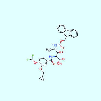 CC(NC(=O)OCC1c2ccccc2-c2ccccc21)C(=O)C(NC(=O)c1ccc(OC(F)F)c(OCC2CC2)c1)C(=O)O